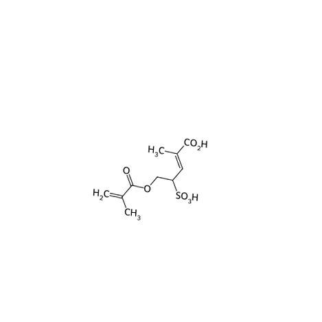 C=C(C)C(=O)OCC(C=C(C)C(=O)O)S(=O)(=O)O